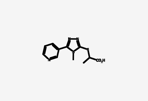 CC(Sc1nnc(-c2cccnc2)n1C)C(=O)O